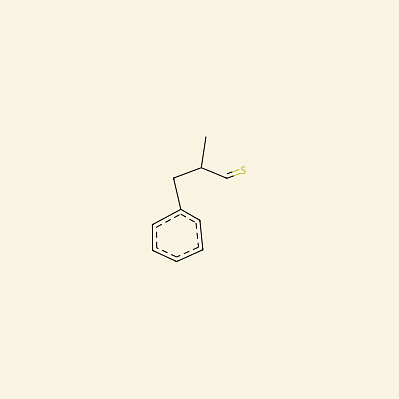 CC(C=S)Cc1ccccc1